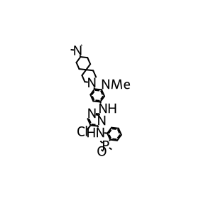 CNc1cc(Nc2ncc(Cl)c(Nc3ccccc3P(C)(C)=O)n2)ccc1N1CCC2(CCC(N(C)C)CC2)CC1